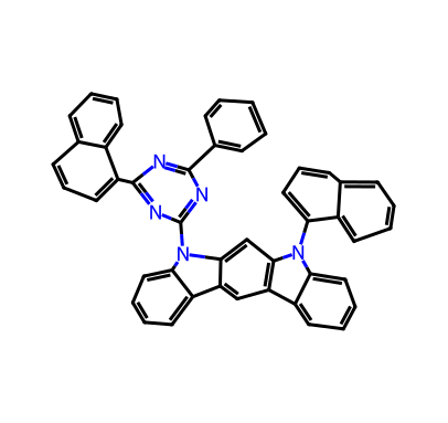 c1ccc(-c2nc(-c3cccc4ccccc34)nc(-n3c4ccccc4c4cc5c6ccccc6n(-c6cccc7ccccc67)c5cc43)n2)cc1